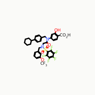 O=C(O)c1ccc(N(Cc2ccc(C3CCCCC3)cc2)C(=O)CN(Cc2cccc(OC(F)(F)F)c2)S(=O)(=O)c2c(F)c(F)c(F)c(F)c2F)cc1O